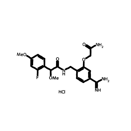 COc1ccc(C(OC)C(=O)NCc2ccc(C(=N)N)cc2OCC(N)=O)c(F)c1.Cl